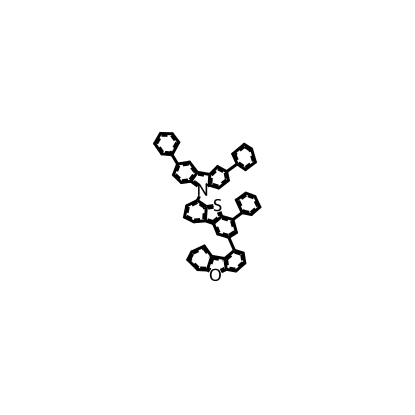 c1ccc(-c2ccc3c(c2)c2cc(-c4ccccc4)ccc2n3-c2cccc3c2sc2c(-c4ccccc4)cc(-c4cccc5oc6ccccc6c45)cc23)cc1